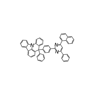 c1ccc(-c2cc(-c3cccc4ccccc34)nc(-c3ccc(C4(c5ccccc5)c5ccccc5-n5c6ccccc6c6cccc4c65)cc3)n2)cc1